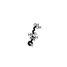 O=C(CCCC(O)O)Nc1nc(-c2cccnc2)n[nH]1